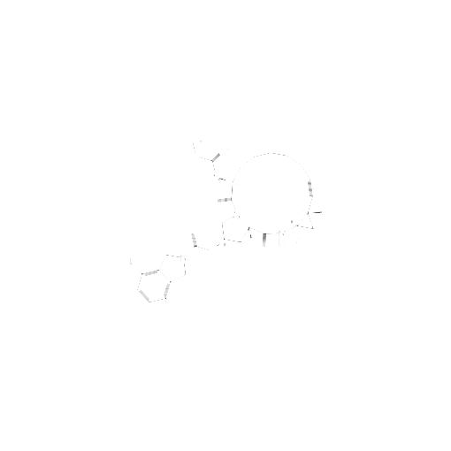 CC(C)(C)OC(=O)N[C@H]1CCCCC/C=C\[C@@H]2C[C@@]2(C(=O)O)NC(=O)[C@@H]2C[C@@H](OC(=O)N3Cc4c(Cl)ccc(Cl)c4C3)CN2C1=O